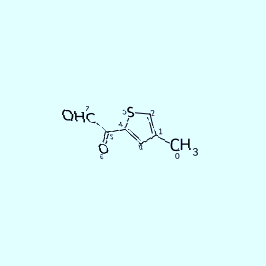 Cc1csc(C(=O)C=O)c1